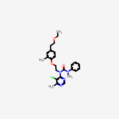 CCOCCc1ccc(OCCN(C(=O)N(C)c2ccccc2)c2ncnc(C)c2Cl)c(C)c1